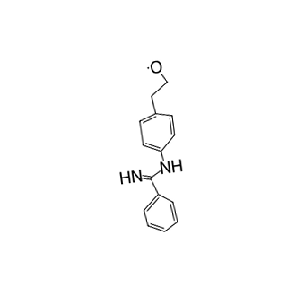 N=C(Nc1ccc(CC[O])cc1)c1ccccc1